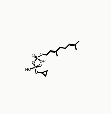 CC(C)=CCC/C(C)=C/COP(=O)(O)OP(=O)(O)OC1CC1